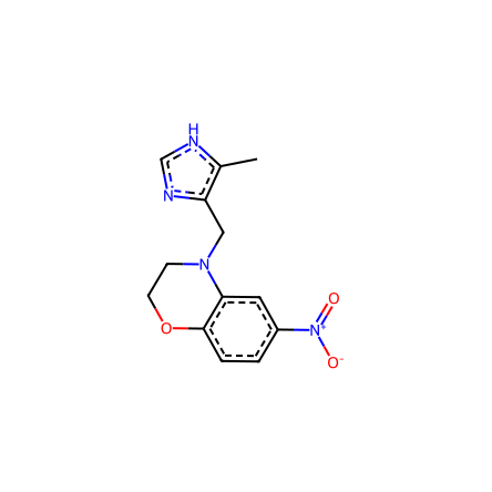 Cc1[nH]cnc1CN1CCOc2ccc([N+](=O)[O-])cc21